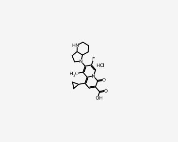 Cc1c(N2CCC3NCCCC32)c(F)cn2c(=O)c(C(=O)O)cc(C3CC3)c12.Cl